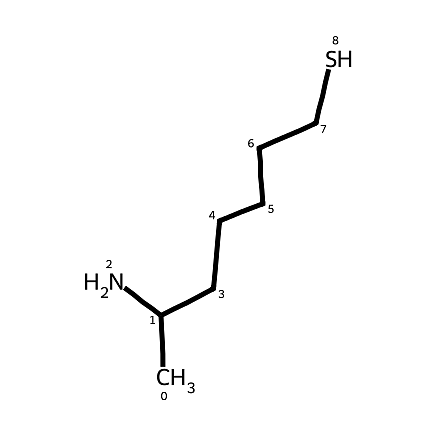 CC(N)CCCCCS